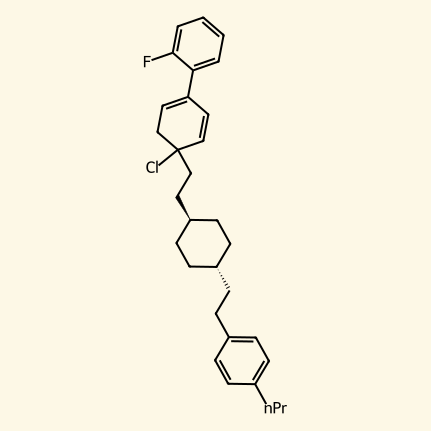 CCCc1ccc(CC[C@H]2CC[C@H](CCC3(Cl)C=CC(c4ccccc4F)=CC3)CC2)cc1